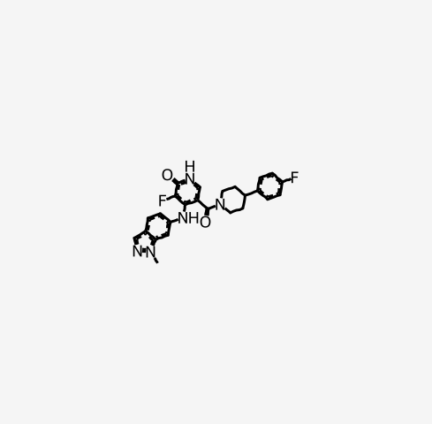 Cn1ncc2ccc(Nc3c(C(=O)N4CCC(c5ccc(F)cc5)CC4)c[nH]c(=O)c3F)cc21